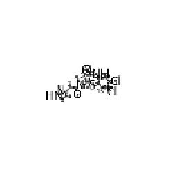 O=C(Cc1cc[nH]n1)N1CC[C@@]2(C1)Sc1cc(Cl)c(Cl)cc1NC2=O